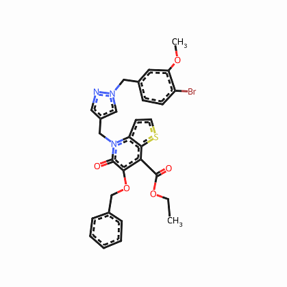 CCOC(=O)c1c(OCc2ccccc2)c(=O)n(Cc2cnn(Cc3ccc(Br)c(OC)c3)c2)c2ccsc12